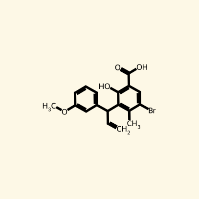 C=CC(c1cccc(OC)c1)c1c(C)c(Br)cc(C(=O)O)c1O